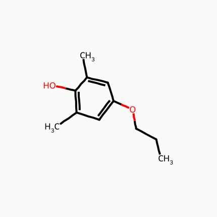 CCCOc1cc(C)c(O)c(C)c1